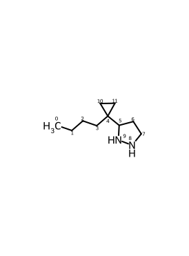 CCCCC1(C2CCNN2)CC1